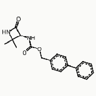 CC1(C)NC(=O)[C@H]1NC(=O)OCc1ccc(-c2ccccc2)cc1